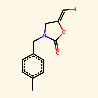 Cc1ccc(CN2CC(=CI)OC2=O)cc1